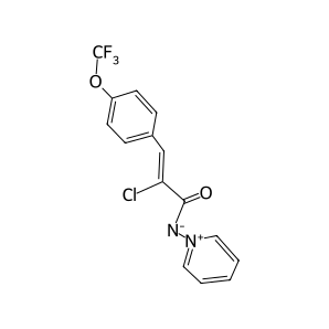 O=C([N-][n+]1ccccc1)/C(Cl)=C/c1ccc(OC(F)(F)F)cc1